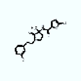 CC1(NC(=O)c2ccc(Cl)o2)CCN(CCc2cccc(Cl)c2)C1=O